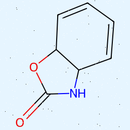 O=C1NC2C=CC=CC2O1